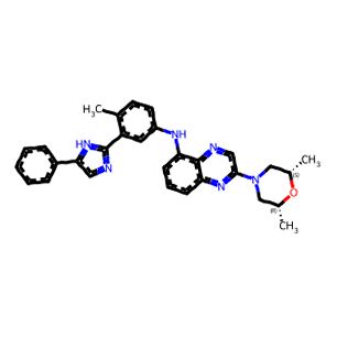 Cc1ccc(Nc2cccc3nc(N4C[C@@H](C)O[C@@H](C)C4)cnc23)cc1-c1ncc(-c2ccccc2)[nH]1